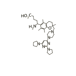 Cc1c(C)c(C(N)CCCC(=O)O)c(C)c2c1OC(C)(CN1CCN(c3cc(N4CCCC4)nc(N4CCCC4)n3)CC1)CC2